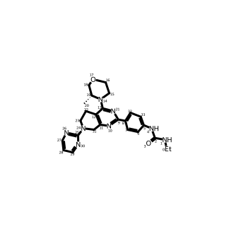 CCNC(=O)Nc1ccc(-c2nc3c(c(N4CCOC[C@H]4C)n2)CCN(c2ncccn2)C3)cc1